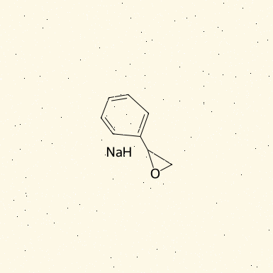 [NaH].c1ccc(C2CO2)cc1